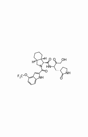 O=C(CO)C(C[C@@H]1CCNC1=O)NC(=O)[C@@H]1[C@H]2CCCC[C@H]2CN1C(=O)c1cc2c(OC(F)(F)F)cccc2[nH]1